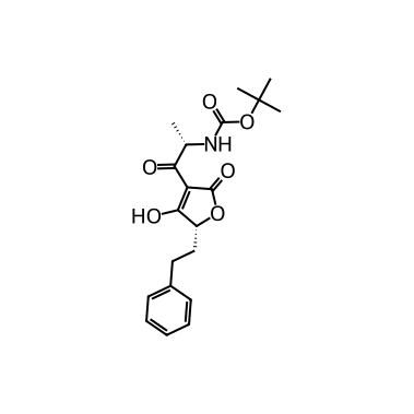 C[C@H](NC(=O)OC(C)(C)C)C(=O)C1=C(O)[C@@H](CCc2ccccc2)OC1=O